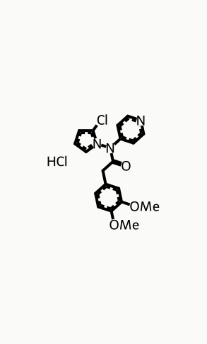 COc1ccc(CC(=O)N(c2ccncc2)n2cccc2Cl)cc1OC.Cl